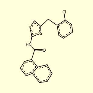 O=C(Nc1ncc(Cc2ccccc2Cl)s1)c1cccc2ccccc12